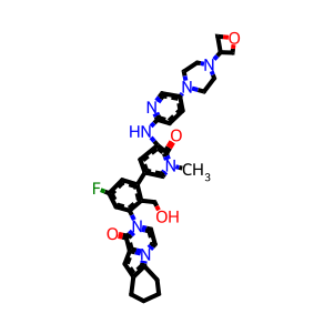 Cn1cc(-c2cc(F)cc(-n3ccn4c5c(cc4c3=O)CCCC5)c2CO)cc(Nc2ccc(N3CCN(C4COC4)CC3)cn2)c1=O